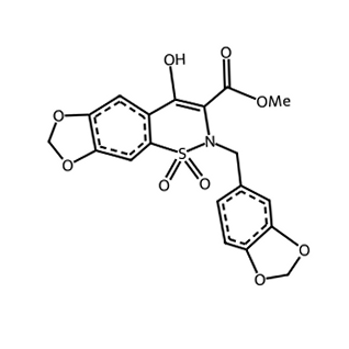 COC(=O)C1=C(O)c2cc3c(cc2S(=O)(=O)N1Cc1ccc2c(c1)OCO2)OCO3